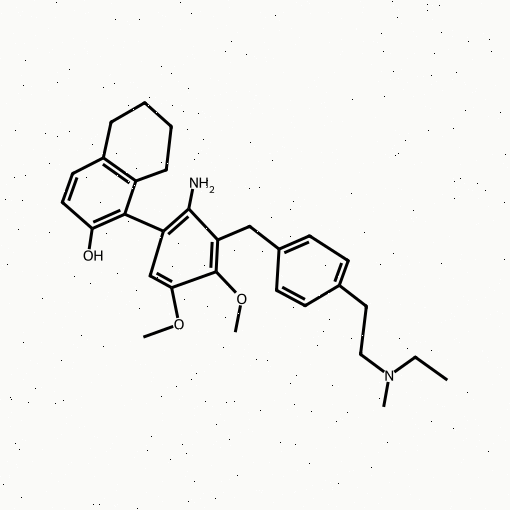 CCN(C)CCc1ccc(Cc2c(N)c(-c3c(O)ccc4c3CCCC4)cc(OC)c2OC)cc1